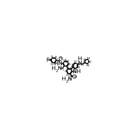 NCc1c(NC(=O)c2ccc(F)cc2)cccc1-c1ccc(C(N)=O)c2[nH]c3cc(NCC4CCCC4)ccc3c12